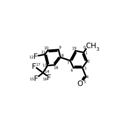 Cc1cc(C=O)cc(-c2ccc(F)c(C(F)(F)F)c2)c1